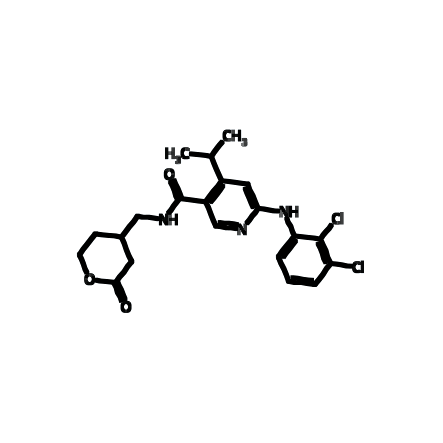 CC(C)c1cc(Nc2cccc(Cl)c2Cl)ncc1C(=O)NCC1CCOC(=O)C1